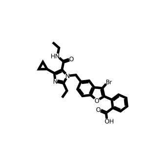 CCNC(=O)c1c(C2CC2)nc(CC)n1Cc1ccc2oc(-c3ccccc3C(=O)O)c(Br)c2c1